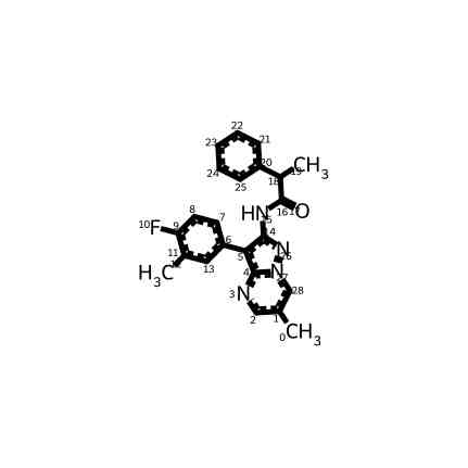 Cc1cnc2c(-c3ccc(F)c(C)c3)c(NC(=O)C(C)c3ccccc3)nn2c1